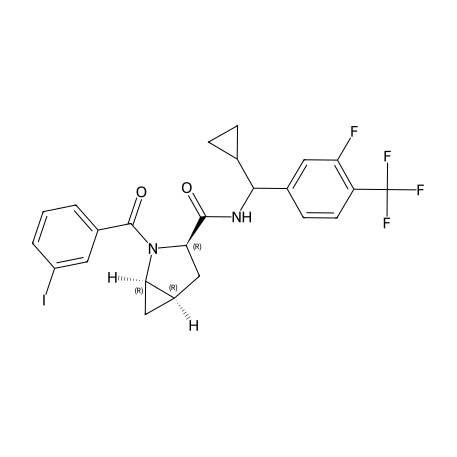 O=C(NC(c1ccc(C(F)(F)F)c(F)c1)C1CC1)[C@H]1C[C@H]2C[C@H]2N1C(=O)c1cccc(I)c1